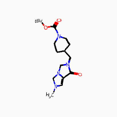 CN1C=C2C(=O)N(CC3CCN(C(=O)OC(C)(C)C)CC3)CN2C1